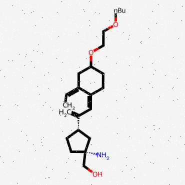 C=C(/C=C1/CCC(OCCOCCCC)C/C1=C/C)[C@H]1CC[C@](N)(CO)C1